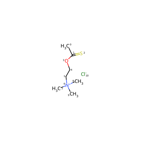 CC(=S)OCC[N+](C)(C)C.[Cl-]